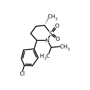 CC(C)N1C(c2ccc(Cl)cc2)CC[C@H](C)S1(=O)=O